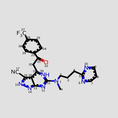 CN(CCCc1ncccn1)c1nc2nnc(C#N)c-2c(CC(=O)c2ccc(C(F)(F)F)cc2)[nH]1